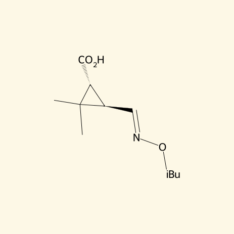 CCC(C)ON=C[C@@H]1[C@@H](C(=O)O)C1(C)C